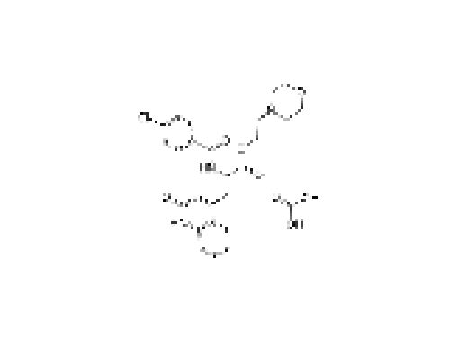 O=C(NC(Cc1cc(=O)[nH]c2ccccc12)C(=O)OCCN1CCOCC1)c1ccc(Cl)cc1.O=C(O)O